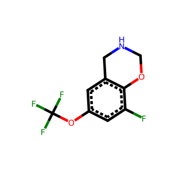 Fc1cc(OC(F)(F)F)cc2c1OCNC2